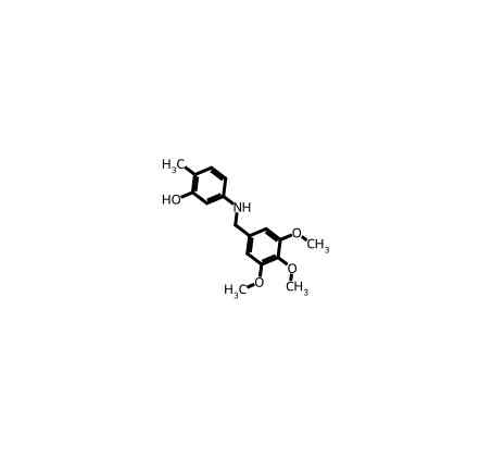 COc1cc(CNc2ccc(C)c(O)c2)cc(OC)c1OC